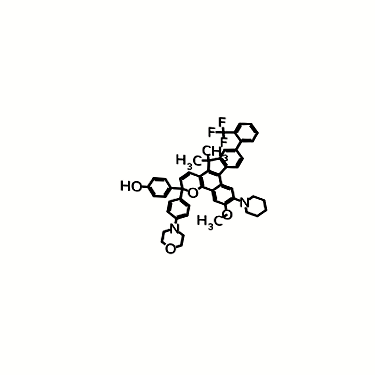 COc1cc2c3c(c4c(c2cc1N1CCCCC1)-c1ccc(-c2ccccc2C(F)(F)F)cc1C4(C)C)C=CC(c1ccc(O)cc1)(c1ccc(N2CCOCC2)cc1)O3